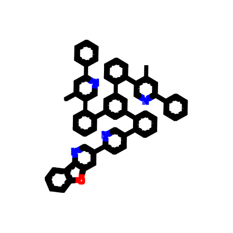 Cc1cc(-c2ccccc2)ncc1-c1ccccc1-c1cc(-c2ccccc2-c2ccc(-c3cnc4c(c3)oc3ccccc34)nc2)cc(-c2ccccc2-c2cnc(-c3ccccc3)cc2C)c1